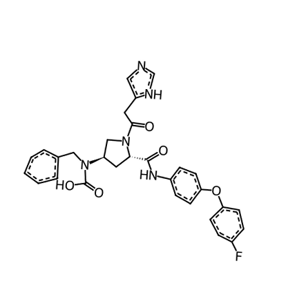 O=C(Nc1ccc(Oc2ccc(F)cc2)cc1)[C@@H]1C[C@@H](N(Cc2ccccc2)C(=O)O)CN1C(=O)Cc1cnc[nH]1